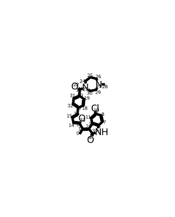 C/C(=C1\C(=O)Nc2ccc(Cl)cc21)c1ccc(-c2ccc(C(=O)N3CCCN(C)CC3)cc2)o1